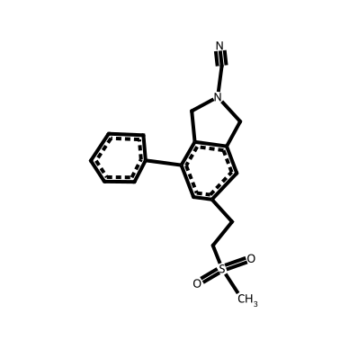 CS(=O)(=O)CCc1cc2c(c(-c3ccccc3)c1)CN(C#N)C2